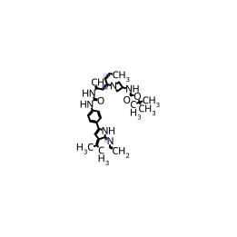 C=C/N=C1/NC(c2ccc(NC(=O)NC(=C)/C=C(\C=C/C)N3CC(NC(=O)OC(C)(C)C)C3)cc2)=CC1=C(C)C